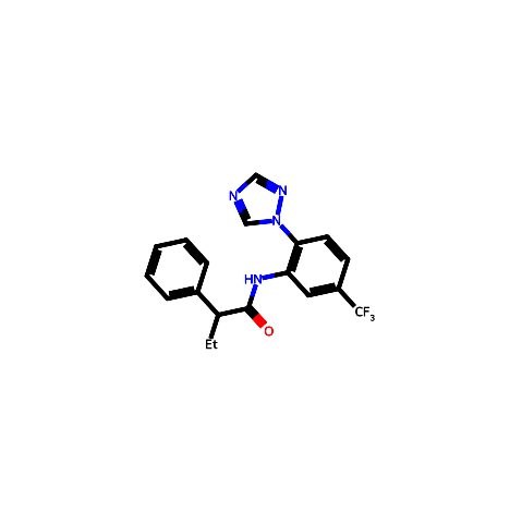 CCC(C(=O)Nc1cc(C(F)(F)F)ccc1-n1cncn1)c1ccccc1